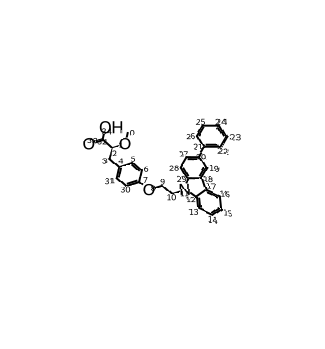 CO[C@@H](Cc1ccc(OCCn2c3ccccc3c3cc(-c4ccccc4)ccc32)cc1)C(=O)O